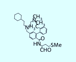 CSCC[C@@H](C=O)NC(=O)c1ccc(CN(CCC2CCCCC2)CCN(C)C)cc1-c1ccccc1C